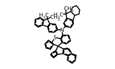 CC1(C)c2ccccc2-c2ccc(N(c3ccc4c(c3)C(C)(C)C3CCCCC43)c3cccc4c3Sc3ccccc3C43c4ccccc4-c4c3ccc3ccccc43)cc21